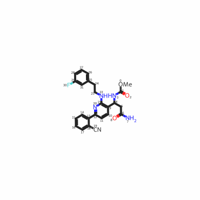 COC(=O)NC(CC(N)=O)c1ccc(-c2ccccc2C#N)nc1NCCc1cccc(F)c1